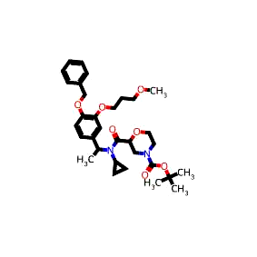 COCCCOc1cc(C(C)N(C(=O)C2CN(C(=O)OC(C)(C)C)CCO2)C2CC2)ccc1OCc1ccccc1